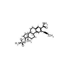 CC#Cc1cc2c(cc1C(N)=O)CCC1C2CC[C@]2(C)C(OS(N)(=O)=O)CCC12